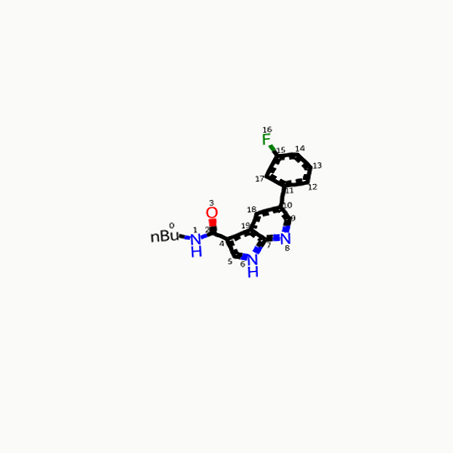 CCCCNC(=O)c1c[nH]c2ncc(-c3cccc(F)c3)cc12